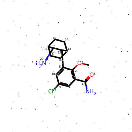 COc1c(C(N)=O)cc(Cl)cc1C1C2CCC(CC2)C1N